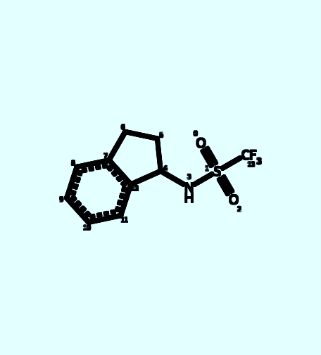 O=S(=O)(NC1CCc2ccccc21)C(F)(F)F